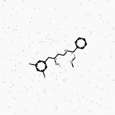 COC[C@H](NCC[C@@H](N)Cc1cc(F)cc(F)c1)c1ccccc1